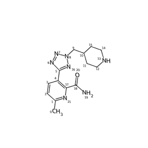 Cc1ccc(-c2nnn(CC3CCNCC3)n2)c(C(N)=O)n1